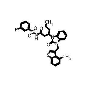 CCCC(CC(=O)NS(=O)(=O)c1cccc(F)c1)n1c(=O)n(Cc2csc3cccc(C)c23)c2ccccc21